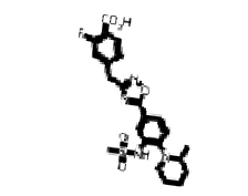 CC1CCCCN1c1ccc(-c2nc(Cc3ccc(C(=O)O)c(F)c3)no2)cc1NS(C)(=O)=O